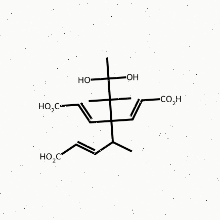 CC(C=CC(=O)O)C(C=CC(=O)O)(C=CC(=O)O)C(C)(C)C(C)(O)O